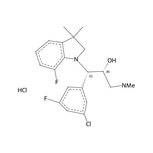 CNC[C@@H](O)[C@H](c1cc(F)cc(Cl)c1)N1CC(C)(C)c2cccc(F)c21.Cl